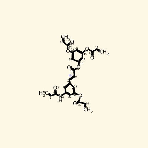 C=CC(=O)Nc1cc(/C=C/C(=O)Oc2cc(OC(=O)C=C)cc(OC(=O)C=C)c2)cc(OC(=O)C=C)c1